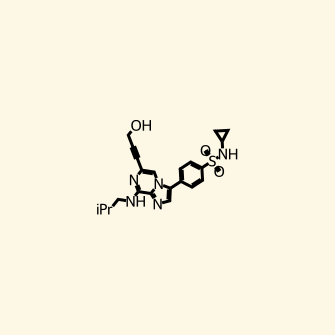 CC(C)CNc1nc(C#CCO)cn2c(-c3ccc(S(=O)(=O)NC4CC4)cc3)cnc12